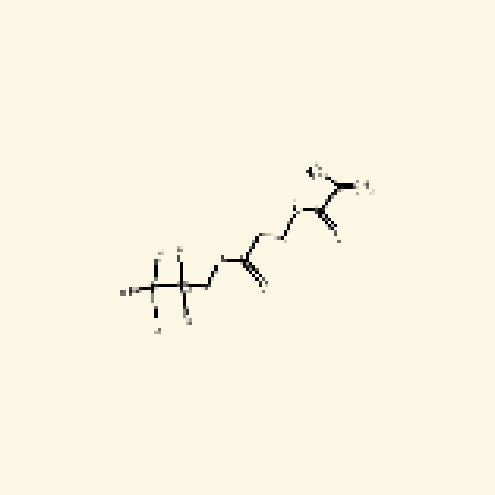 C=C(C)C(=O)OCCC(=O)OCC(F)(F)C(F)(F)F